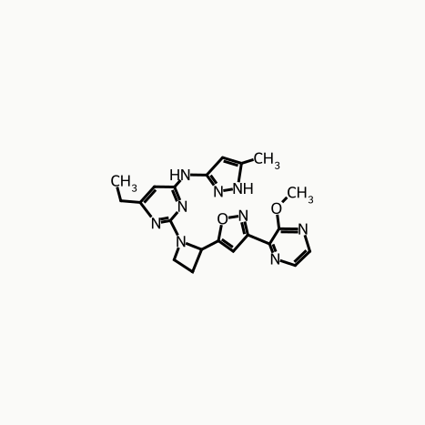 CCc1cc(Nc2cc(C)[nH]n2)nc(N2CCC2c2cc(-c3nccnc3OC)no2)n1